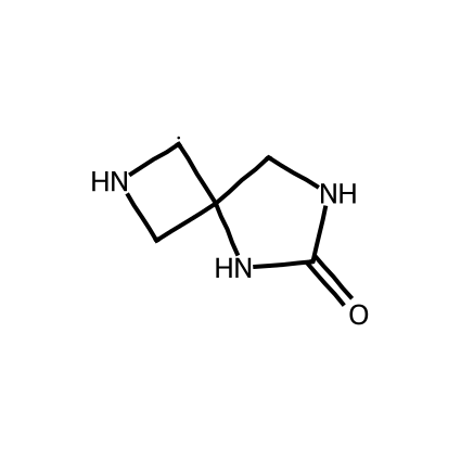 O=C1NCC2([CH]NC2)N1